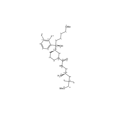 COCCCC[C@@](O)(c1cccc(F)c1F)[C@@H]1CCCN(C(=O)NC[C@H](N)CC(C)(C)COC)C1